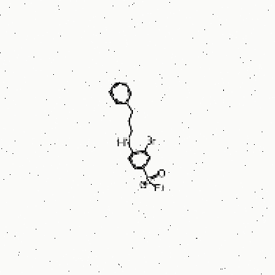 CCS(=O)(=O)c1ccc(NCCCc2ccccc2)c(Br)c1